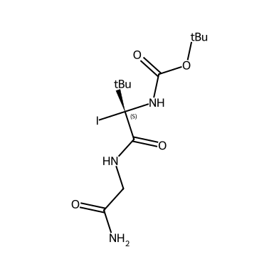 CC(C)(C)OC(=O)N[C@@](I)(C(=O)NCC(N)=O)C(C)(C)C